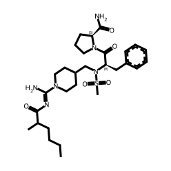 CCCCC(C)C(=O)N=C(N)N1CCC(CN([C@H](Cc2ccccc2)C(=O)N2CCC[C@H]2C(N)=O)S(C)(=O)=O)CC1